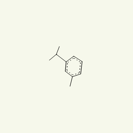 Cc1[c]c(C(C)C)c[c]c1